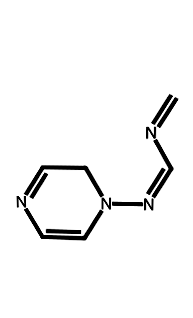 C=N/C=N\N1C=CN=CC1